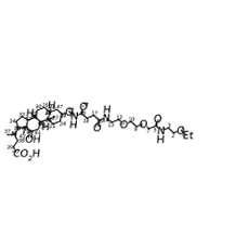 CCOCCNC(=O)COCCOCCNC(=O)CCC(=O)NO[C@H]1CC[C@@]2(C)[C@H](CC[C@H]3C4CC[C@H]([C@H](C)CCC(=O)O)[C@@]4(C)[C@@H](O)C[C@@H]32)C1